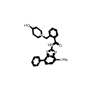 COc1ccc(-c2ccccc2)c2sc(NC(=O)c3ccccc3CN3CCC(O)CC3)nc12